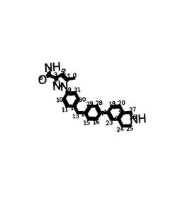 Cc1cc(C(N)=O)nn1-c1ccc(Cc2ccc(-c3ccc4c(c3)CCNC4)cc2)cc1